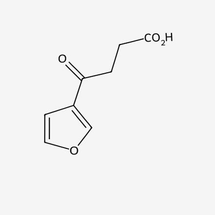 O=C(O)CCC(=O)c1ccoc1